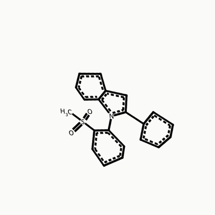 CS(=O)(=O)c1ccccc1-n1c(-c2ccccc2)cc2ccccc21